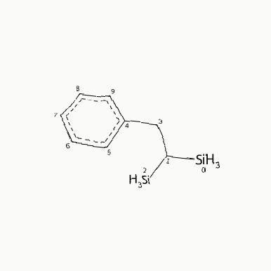 [SiH3]C([SiH3])Cc1ccccc1